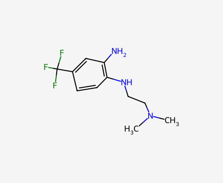 CN(C)CCNc1ccc(C(F)(F)F)cc1N